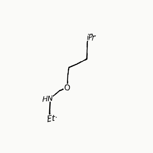 C[CH]NOCCC(C)C